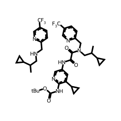 CC(CN(Cc1ccc(C(F)(F)F)cn1)C(=O)C(=O)Nc1cnc(NC(=O)OC(C)(C)C)c(C2CC2)c1)C1CC1.CC(CNCc1ccc(C(F)(F)F)cn1)C1CC1